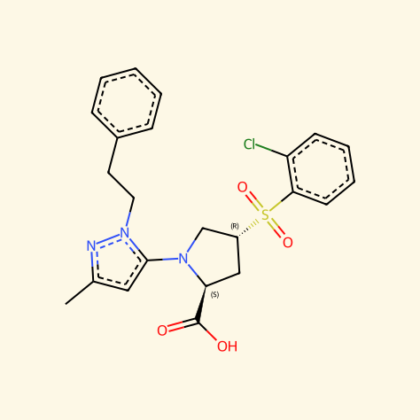 Cc1cc(N2C[C@H](S(=O)(=O)c3ccccc3Cl)C[C@H]2C(=O)O)n(CCc2ccccc2)n1